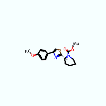 CC(C)(C)OC(=O)N1CCCC[C@@H]1c1nc(-c2ccc(OC(F)(F)F)cc2)cs1